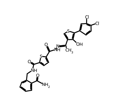 C/C(=N\NC(=O)c1ccc(C(=O)NCc2ccccc2C(N)=O)s1)c1csc(-c2ccc(Cl)c(Cl)c2)c1O